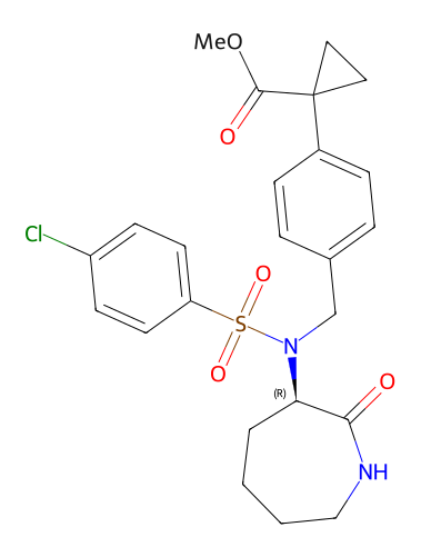 COC(=O)C1(c2ccc(CN([C@@H]3CCCCNC3=O)S(=O)(=O)c3ccc(Cl)cc3)cc2)CC1